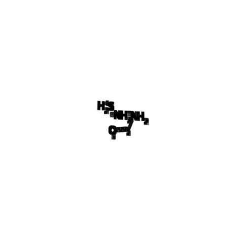 N.NC=O.S